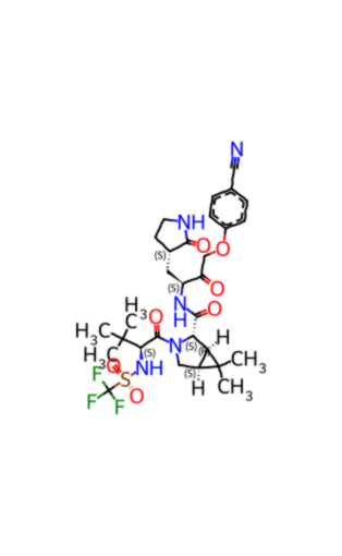 CC(C)(C)[C@H](NS(=O)(=O)C(F)(F)F)C(=O)N1C[C@H]2[C@@H]([C@H]1C(=O)N[C@@H](C[C@@H]1CCNC1=O)C(=O)COc1ccc(C#N)cc1)C2(C)C